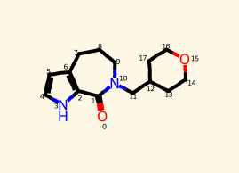 O=C1c2[nH]ccc2CCCN1CC1CCOCC1